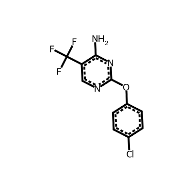 Nc1nc(Oc2ccc(Cl)cc2)ncc1C(F)(F)F